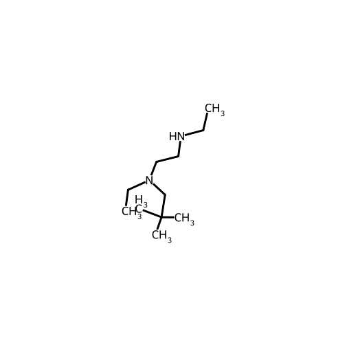 CCNCCN(CC)CC(C)(C)C